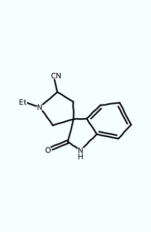 CCN1CC2(CC1C#N)C(=O)Nc1ccccc12